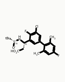 Cc1cc(F)cc(C)c1-c1cc(Cl)c(F)c([C@H](CC(=O)O)N[S@+]([O-])C(C)(C)C)c1